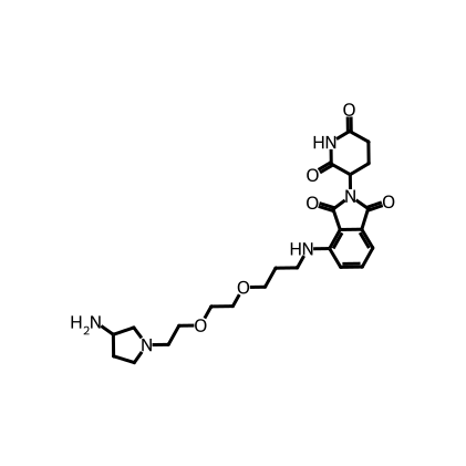 NC1CCN(CCOCCOCCCNc2cccc3c2C(=O)N(C2CCC(=O)NC2=O)C3=O)C1